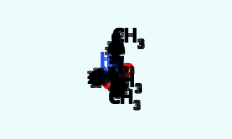 CCc1ccc(-c2cc3n(n2)CC(C)(C(=O)NC2CCCCC2)N(Cc2ccc(C)cc2)C3=O)cc1